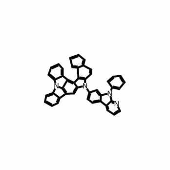 c1ccc(-n2c3cc(-n4c5ccc6ccccc6c5c5c6c7ccccc7n7c8ccccc8c(cc54)c67)ccc3c3cccnc32)cc1